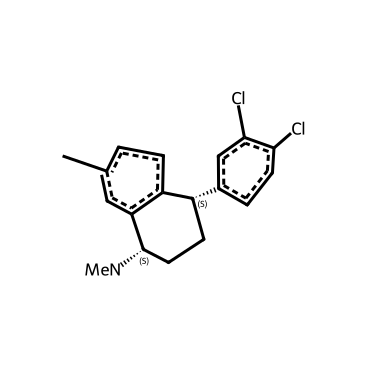 CN[C@H]1CC[C@@H](c2ccc(Cl)c(Cl)c2)c2ccc(C)cc21